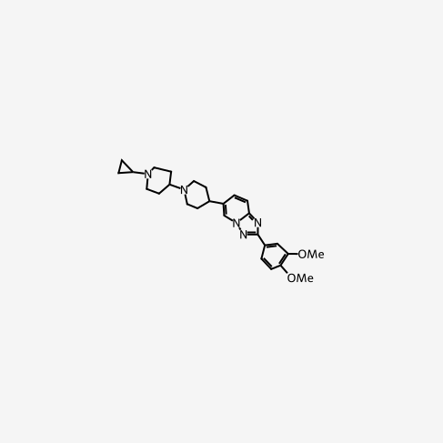 COc1ccc(-c2nc3ccc(C4CCN(C5CCN(C6CC6)CC5)CC4)cn3n2)cc1OC